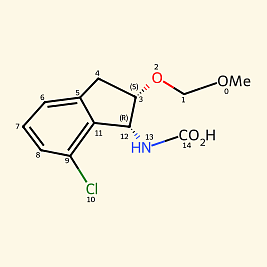 COCO[C@H]1Cc2cccc(Cl)c2[C@H]1NC(=O)O